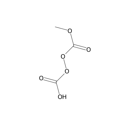 COC(=O)OOC(=O)O